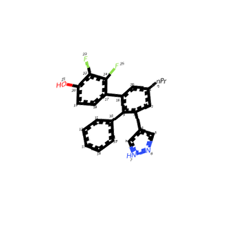 CCCc1cc(-c2cn[nH]c2)c(-c2ccccc2)c(-c2ccc(O)c(F)c2F)c1